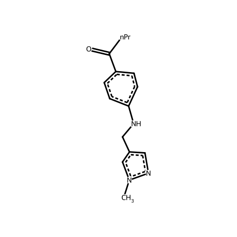 CCCC(=O)c1ccc(NCc2cnn(C)c2)cc1